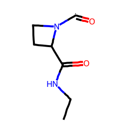 CCNC(=O)C1CCN1[C]=O